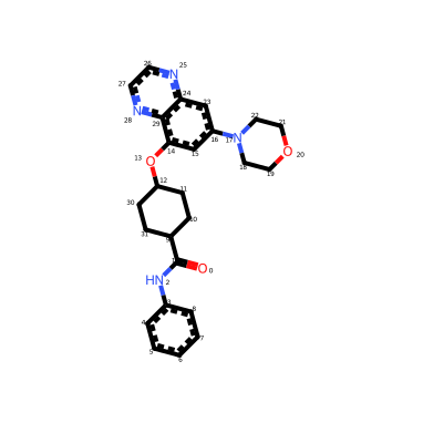 O=C(Nc1ccccc1)C1CCC(Oc2cc(N3CCOCC3)cc3nccnc23)CC1